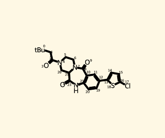 CC(C)(C)CC(=O)N1CCN2C(=O)c3cc(-c4ccc(Cl)s4)ccc3NC(=O)C2C1